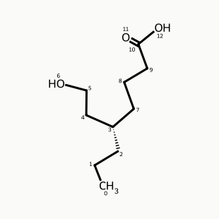 CCC[C@H](CCO)CCCC(=O)O